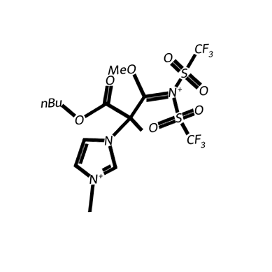 CCCCOC(=O)C(C)(C(OC)=[N+](S(=O)(=O)C(F)(F)F)S(=O)(=O)C(F)(F)F)n1cc[n+](C)c1